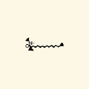 O=C(NC1CC1)C1(CCCCCCCCCCCCC2CC2)CC1